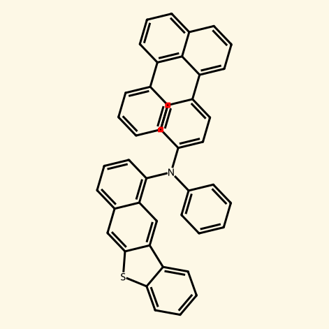 c1ccc(-c2cccc3cccc(-c4ccc(N(c5ccccc5)c5cccc6cc7sc8ccccc8c7cc56)cc4)c23)cc1